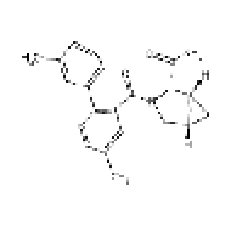 Cc1cccc(-c2ccc(C)cc2C(=O)N2C[C@H]3C[C@H]3[C@H]2C(N)=O)c1